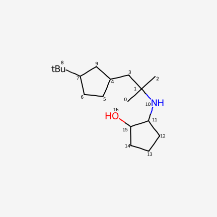 CC(C)(CC1CCC(C(C)(C)C)C1)NC1CCCC1O